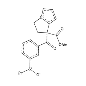 COC(=O)C1(C(=O)c2cccc([S+]([O-])C(C)C)c2)CCn2cccc21